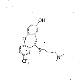 CN(C)CCCSC1=Cc2cc(O)ccc2Oc2ccc(C(F)(F)F)cc21